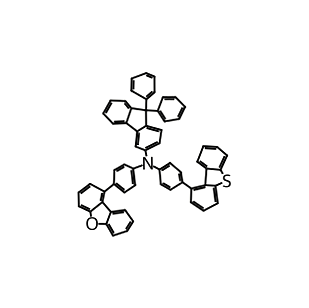 c1ccc(C2(c3ccccc3)c3ccccc3-c3cc(N(c4ccc(-c5cccc6oc7ccccc7c56)cc4)c4ccc(-c5cccc6sc7ccccc7c56)cc4)ccc32)cc1